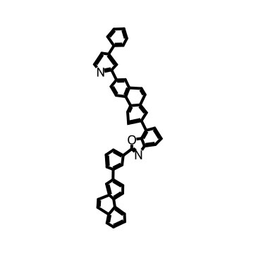 c1ccc(-c2ccnc(-c3ccc4c(ccc5cc(-c6cccc7nc(-c8cccc(-c9ccc%10c(ccc%11ccccc%11%10)c9)c8)oc67)ccc54)c3)c2)cc1